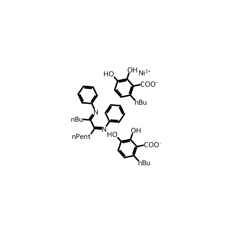 CCCCCC(=Nc1ccccc1)C(CCCC)=Nc1ccccc1.CCCCc1ccc(O)c(O)c1C(=O)[O-].CCCCc1ccc(O)c(O)c1C(=O)[O-].[Ni+2]